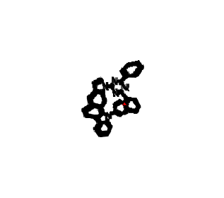 c1ccc(-c2nc(-c3ccccc3)nc(-n3ccc4cc5ccc6c7ccccc7n(-c7ccccc7)c6c5cc43)n2)cc1